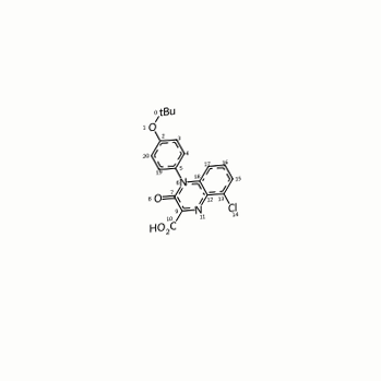 CC(C)(C)Oc1ccc(-n2c(=O)c(C(=O)O)nc3c(Cl)cccc32)cc1